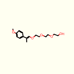 COc1ccc(C(C)=COCCOCCOCCO)cc1